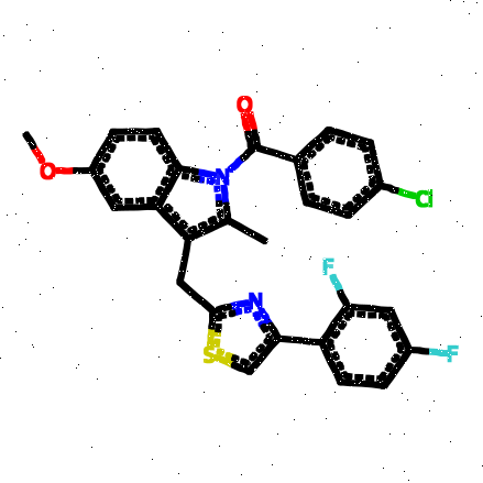 COc1ccc2c(c1)c(Cc1nc(-c3ccc(F)cc3F)cs1)c(C)n2C(=O)c1ccc(Cl)cc1